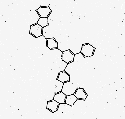 c1ccc(-c2cc(-c3ccc(-c4cccc5c4sc4ccccc45)cc3)nc(-c3ccc(-c4nc5ccccc5c5oc6ccccc6c45)cc3)c2)cc1